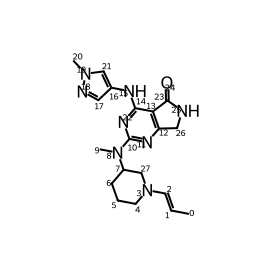 CC=CN1CCCC(N(C)c2nc3c(c(Nc4cnn(C)c4)n2)C(=O)NC3)C1